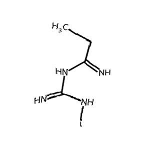 CCC(=N)NC(=N)NI